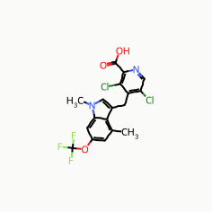 Cc1cc(OC(F)(F)F)cc2c1c(Cc1c(Cl)cnc(C(=O)O)c1Cl)cn2C